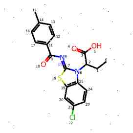 CCC(C(=O)O)n1/c(=N/C(=O)c2ccc(C)cc2)sc2cc(Cl)ccc21